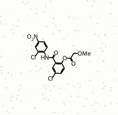 COCC(=O)Oc1ccc(Cl)cc1C(=O)Nc1ccc([N+](=O)[O-])cc1Cl